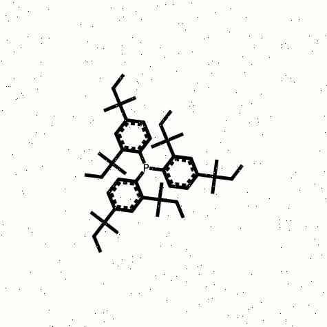 CCC(C)(C)c1ccc(P(c2ccc(C(C)(C)CC)cc2C(C)(C)CC)c2ccc(C(C)(C)CC)cc2C(C)(C)CC)c(C(C)(C)CC)c1